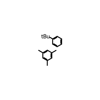 CC(C)(C)c1ccccc1.Cc1cc(C)cc(C)c1